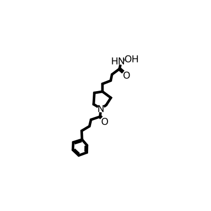 O=C(CCCC1CCN(C(=O)CCCc2ccccc2)CC1)NO